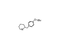 CC(C)(C)Oc1ccc(CC2CCCC[N]2)cc1